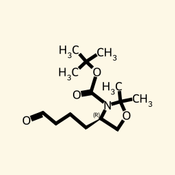 CC(C)(C)OC(=O)N1[C@H](CCCC=O)COC1(C)C